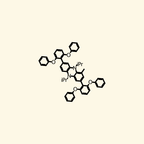 Cc1cc(-c2c(Oc3ccccc3)cccc2Oc2ccccc2)cc2c1N(C(C)C)c1cc(-c3c(Oc4ccccc4)cccc3Oc3ccccc3)ccc1N2C(C)C